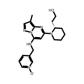 Cc1cnn2c(NCc3ccc[n+]([O-])c3)cc(N3CCCC[C@H]3CCO)nc12